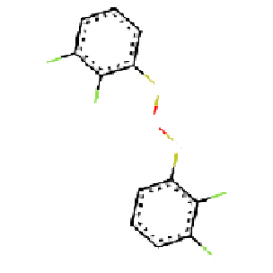 Fc1cccc(SOSc2cccc(F)c2F)c1F